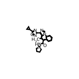 Cc1c(C(=O)NN2CCCC2)c2ccccc2n2cnc(-c3noc(C4CC4)n3)c12